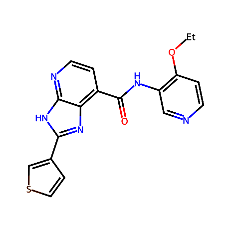 CCOc1ccncc1NC(=O)c1ccnc2[nH]c(-c3ccsc3)nc12